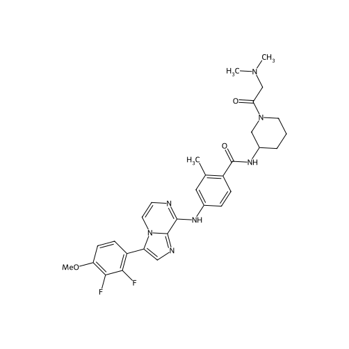 COc1ccc(-c2cnc3c(Nc4ccc(C(=O)NC5CCCN(C(=O)CN(C)C)C5)c(C)c4)nccn23)c(F)c1F